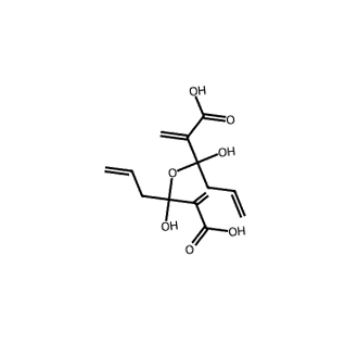 C=CCC(O)(OC(O)(CC=C)C(=C)C(=O)O)C(=C)C(=O)O